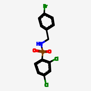 O=S(=O)(NCc1ccc(Br)cc1)c1ccc(Cl)cc1Cl